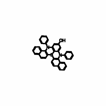 Oc1cc2c3c(c1)N(c1ccccc1)c1c(ccc4ccccc14)B3c1ccc3ccccc3c1N2c1ccccc1